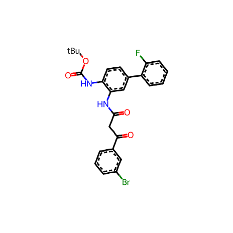 CC(C)(C)OC(=O)Nc1ccc(-c2ccccc2F)cc1NC(=O)CC(=O)c1cccc(Br)c1